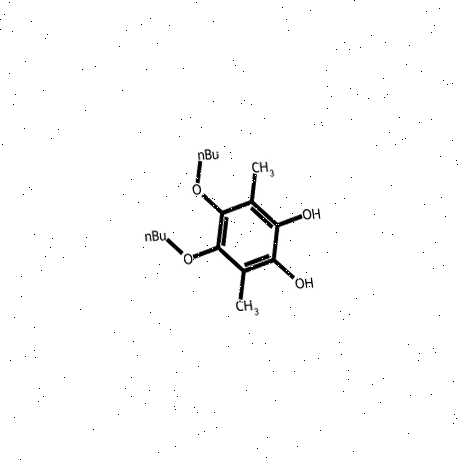 CCCCOc1c(C)c(O)c(O)c(C)c1OCCCC